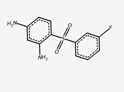 Nc1ccc(S(=O)(=O)c2cccc(F)c2)c(N)c1